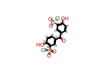 O=C(c1ccc(O)c(S(=O)(=O)Cl)c1)c1ccc(O)c(S(=O)(=O)Cl)c1